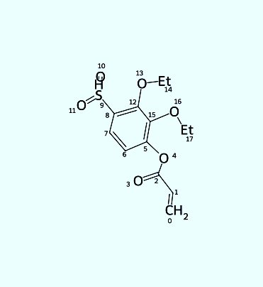 C=CC(=O)Oc1ccc([SH](=O)=O)c(OCC)c1OCC